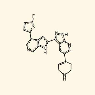 Fc1ccc(-c2cncc3[nH]c(-c4n[nH]c5ncc(C6=CCNCC6)cc45)cc23)s1